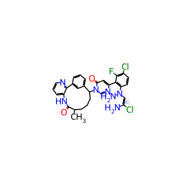 CC1CCCC(n2cnc(-c3c(N(N)/C=C(\N)Cl)ccc(Cl)c3F)cc2=O)c2cccc(c2)-c2ncccc2NC1=O